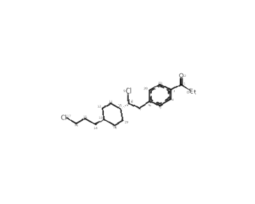 CCC(=O)c1ccc(CC(Cl)[C@H]2CC[C@H](CCCCl)CC2)cc1